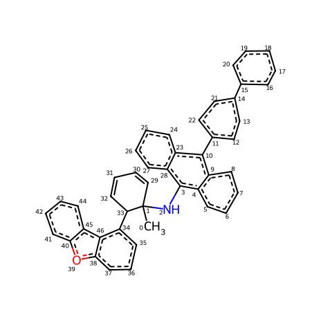 CC1(Nc2c3ccccc3c(-c3ccc(-c4ccccc4)cc3)c3ccccc23)C=CC=CC1c1cccc2oc3ccccc3c12